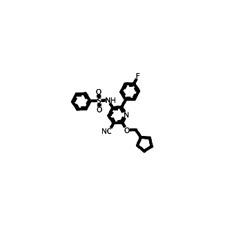 N#Cc1cc(NS(=O)(=O)c2ccccc2)c(-c2ccc(F)cc2)nc1OCC1CCCC1